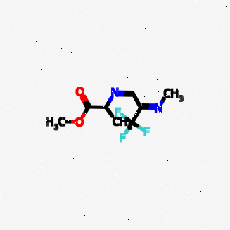 C/N=C(\C=N/C(C)C(=O)OC)C(F)(F)F